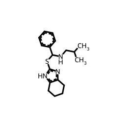 CC(C)CNC(Sc1nc2c([nH]1)CCCC2)c1ccccc1